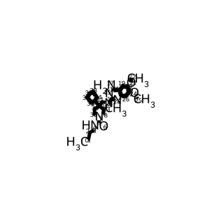 CCCCNC(=O)N1CCC(CN(C)c2nc(N)c3cc(OC)c(OC)cc3n2)(c2ccccc2)CC1